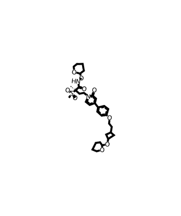 C[C@@](CCn1ccc(-c2ccc(OCCC3CC(OC4CCCCO4)C3)cc2)cc1=O)(C(=O)NOC1CCCCO1)S(C)(=O)=O